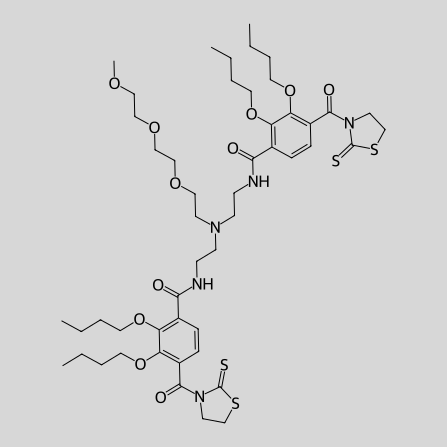 CCCCOc1c(C(=O)NCCN(CCNC(=O)c2ccc(C(=O)N3CCSC3=S)c(OCCCC)c2OCCCC)CCOCCOCCOC)ccc(C(=O)N2CCSC2=S)c1OCCCC